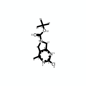 Cc1nc(Cl)nc2c1CN(C(=O)OC(C)(C)C)C2